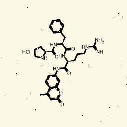 Cc1cc(=O)oc2cc(NC(=O)[C@H](CCCNC(=N)N)NC(=O)[C@H](Cc3ccccc3)NC(=O)[C@@H]3CCCN3)ccc12.Cl